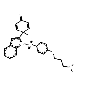 CN(C)CCCOc1ccc(S(=O)(=O)n2c(C3(O)C=CC(=O)C=C3)cc3ccccc32)cc1